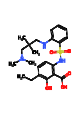 CCc1ccc(NS(=O)(=O)c2ccccc2NCC(C)(C)CN(C)C)c(C(=O)O)c1O